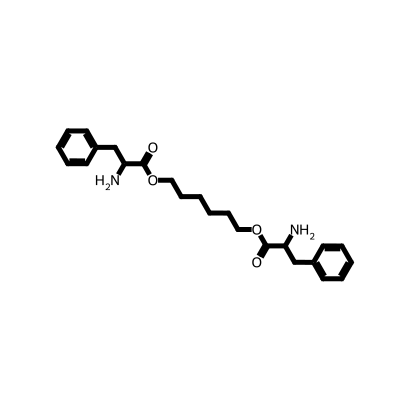 NC(Cc1ccccc1)C(=O)OCCCCCCOC(=O)C(N)Cc1ccccc1